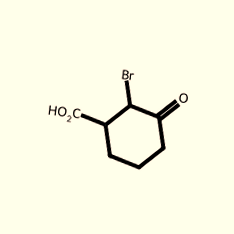 O=C1CCCC(C(=O)O)C1Br